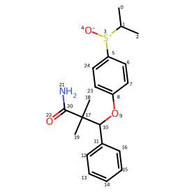 CC(C)[S+]([O-])c1ccc(OC(c2ccccc2)C(C)(C)C(N)=O)cc1